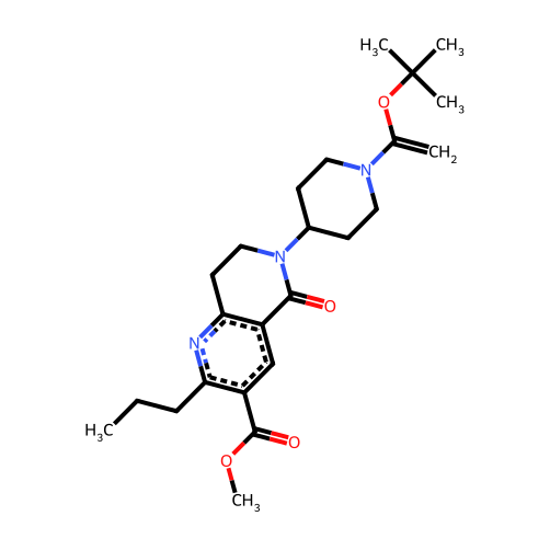 C=C(OC(C)(C)C)N1CCC(N2CCc3nc(CCC)c(C(=O)OC)cc3C2=O)CC1